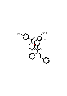 CCOC(=O)c1oc2ccc(S(=O)(=O)N(CCc3ccccc3)c3ccccc3N3CCN(C(=O)c4ccc(C#N)cc4)CC3)cc2c1C